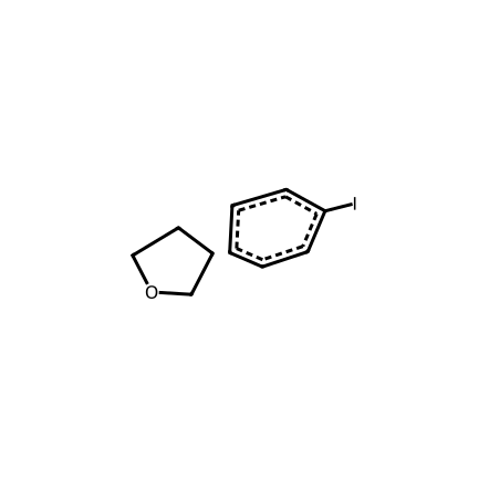 C1CCOC1.Ic1ccccc1